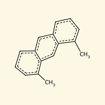 Cc1cccc2cc3cccc(C)c3cc12